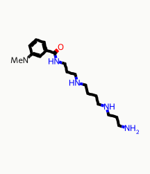 CNc1cccc(C(=O)NCCCNCCCCNCCCN)c1